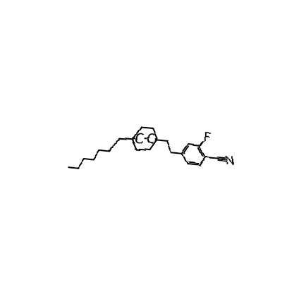 CCCCCCCC12CCC(CCc3ccc(C#N)c(F)c3)(CC1)CC2